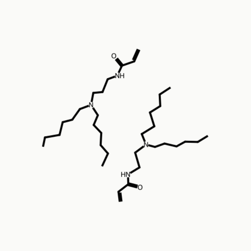 C=CC(=O)NCCCN(CCCCCC)CCCCCC.C=CC(=O)NCCN(CCCCCC)CCCCCC